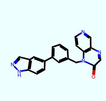 O=c1cnc2cnccc2n1Cc1cccc(-c2ccc3[nH]ncc3c2)c1